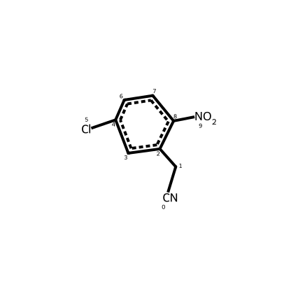 N#CCc1cc(Cl)ccc1[N+](=O)[O-]